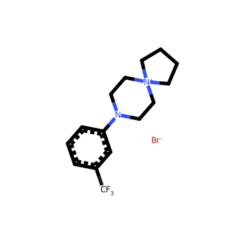 FC(F)(F)c1cccc(N2CC[N+]3(CCCC3)CC2)c1.[Br-]